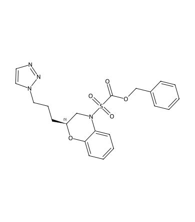 O=C(OCc1ccccc1)S(=O)(=O)N1C[C@H](CCCn2ccnn2)Oc2ccccc21